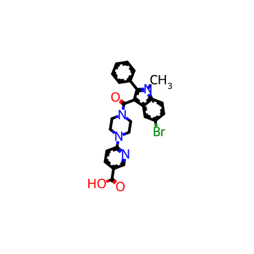 Cn1c(-c2ccccc2)c(C(=O)N2CCN(c3ccc(C(=O)O)cn3)CC2)c2cc(Br)ccc21